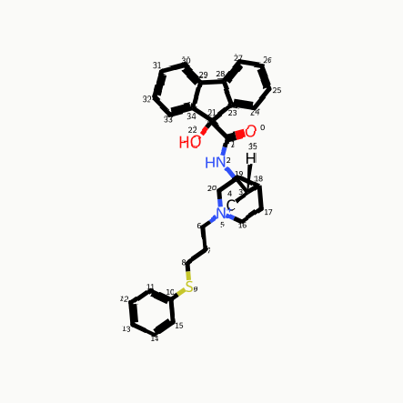 O=C(N[C@H]1C[N+]2(CCCSc3ccccc3)CCC1CC2)C1(O)c2ccccc2-c2ccccc21